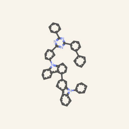 c1ccc(-c2cccc(-c3nc(-c4ccccc4)nc(-c4cccc(-n5c6ccccc6c6c(-c7ccc8c9ccccc9n(-c9ccccc9)c8c7)cccc65)c4)n3)c2)cc1